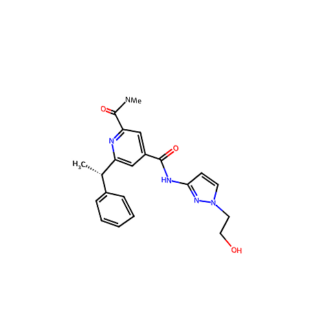 CNC(=O)c1cc(C(=O)Nc2ccn(CCO)n2)cc([C@@H](C)c2ccccc2)n1